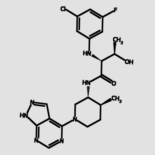 C[C@@H](O)[C@@H](Nc1cc(F)cc(Cl)c1)C(=O)N[C@H]1CN(c2ncnc3[nH]ncc23)CC[C@@H]1C